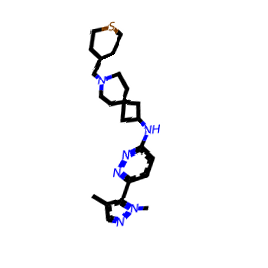 Cc1cnn(C)c1-c1ccc(NC2CC3(CCN(CC4CCSCC4)CC3)C2)nn1